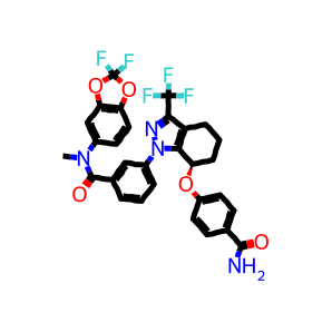 CN(C(=O)c1cccc(-n2nc(C(F)(F)F)c3c2[C@H](Oc2ccc(C(N)=O)cc2)CCC3)c1)c1ccc2c(c1)OC(F)(F)O2